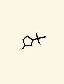 CCC(C)(C)C1CCC(N)C1